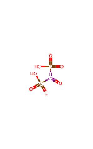 O=[PH](S(=O)(=O)O)S(=O)(=O)O